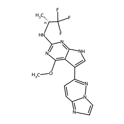 COc1nc(N[C@H](C)C(F)(F)F)nc2[nH]cc(-c3ccc4nccn4n3)c12